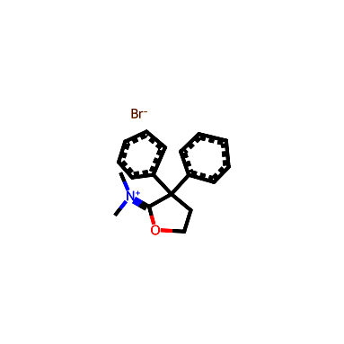 C[N+](C)=C1OCCC1(c1ccccc1)c1ccccc1.[Br-]